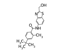 Cc1cc(C(C)(C)C)ccc1C(=O)Nc1ccc2sc(CO)nc2c1